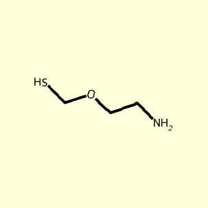 NCCOCS